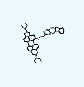 CCC(CC)N1Cc2ccc3c4ccc5c6c(cc(SCCC(=O)NC(CC7=CCc8ccccc87)C(=O)O)c(c7ccc(c2c37)C1)c64)CN(C(CC)CC)C5